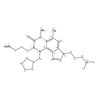 CNCCCN(C(=O)OC(C)(C)C)N(CC1CCCC1)c1nc(C#N)nc2c1ncn2CCCN(C)C